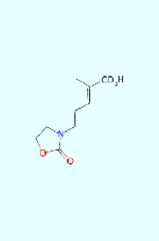 CC(=CCCN1CCOC1=O)C(=O)O